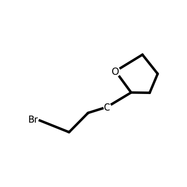 BrCCCC1CCCO1